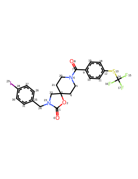 O=C1OC2(CCN(C(=O)c3ccc(SC(F)(F)F)cc3)CC2)CN1Cc1ccc(I)cc1